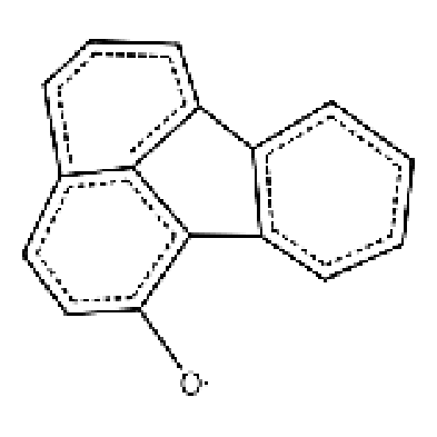 [O]c1ccc2cccc3c2c1-c1ccccc1-3